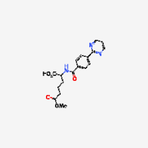 COC(=O)CCCC(NC(=O)c1ccc(-c2ncccn2)cc1)C(=O)O